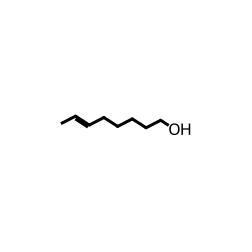 C/C=C/CCCCCO